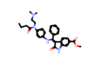 CCCC(=O)N(CCN(C)C)c1ccc(N/C(=C2\C(=O)Nc3cc(C(=O)OC)ccc32)c2ccccc2)cc1